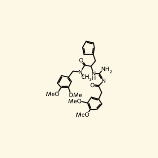 COc1ccc(CC(=O)N=C(N)NC(Cc2ccccc2)C(=O)N(C)Cc2ccc(OC)c(OC)c2)cc1OC